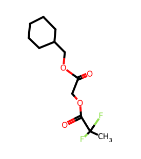 CC(F)(F)C(=O)OCC(=O)OCC1CCCCC1